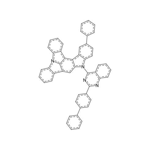 c1ccc(-c2ccc(-c3nc(-n4c5ccc(-c6ccccc6)cc5c5c6c7ccccc7n7c8ccccc8c(cc54)c67)c4ccccc4n3)cc2)cc1